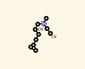 N#Cc1ccc(-c2ccc(-c3nc(-c4ccccc4)nc(-c4cccc(-c5cccc(-c6cccc(-c7ccc(-c8cc9c%10c(cccc%10c8)-c8ccccc8-9)cc7)c6)c5C#N)c4)n3)cc2)cc1